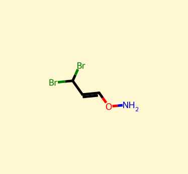 NOC=CC(Br)Br